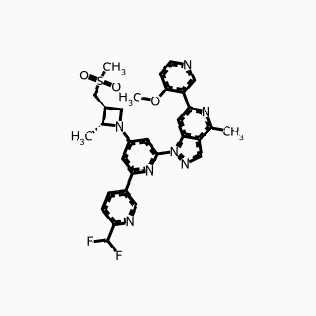 COc1ccncc1-c1cc2c(cnn2-c2cc(N3C[C@H](CS(C)(=O)=O)[C@H]3C)cc(-c3ccc(C(F)F)nc3)n2)c(C)n1